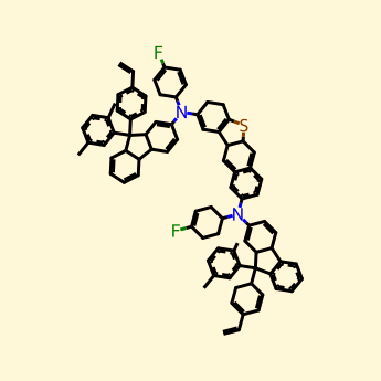 C=CC1=CCC(C2(c3cc(C)ccc3C)c3ccccc3C3C=CC(N(c4ccc5c(c4)=CC4C6=C(CCC(N(C7=CC8C(C=C7)C7C=CC=CC7C8(c7ccc(C=C)cc7)c7cc(C)ccc7C)C7C=CC(F)=CC7)=C6)SC4C=5)C4CC=C(F)CC4)=CC32)C=C1